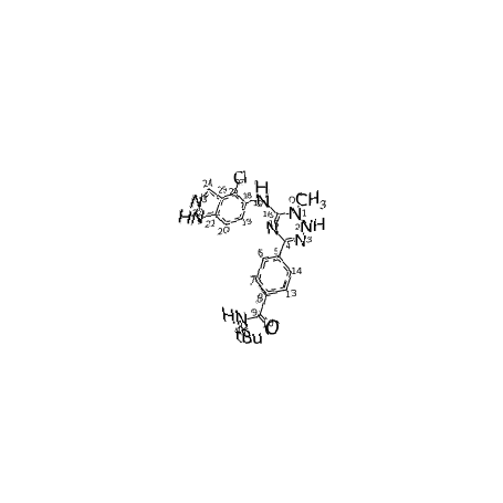 CN1NN=C(c2ccc(C(=O)NC(C)(C)C)cc2)N=C1Nc1ccc2[nH]ncc2c1Cl